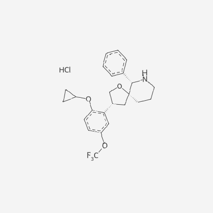 Cl.FC(F)(F)Oc1ccc(OC2CC2)c([C@@H]2CO[C@]3(CCCN[C@H]3c3ccccc3)C2)c1